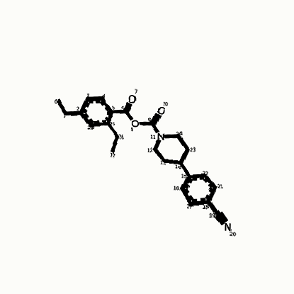 CCc1ccc(C(=O)OC(=O)N2CCC(c3ccc(C#N)cc3)CC2)c(CC)c1